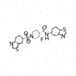 O=C(Nc1ccc2scnc2c1)[C@H]1CCN(S(=O)(=O)c2ccc3ncsc3c2)C[C@H]1F